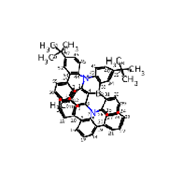 Cc1cc2c3c(c1)N(c1c(-c4ccccc4)cccc1-c1ccccc1)c1ccccc1B3c1cc(C(C)(C)C)ccc1N2c1ccc(C(C)(C)C)cc1-c1ccccc1